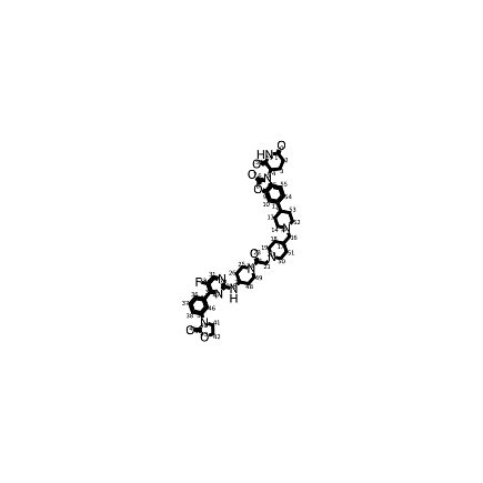 O=C1CCC(n2c(=O)oc3cc(C4CCN(CC5CCN(CC(=O)N6CCC(Nc7ncc(F)c(-c8cccc(N9CCOC9=O)c8)n7)CC6)CC5)CC4)ccc32)C(=O)N1